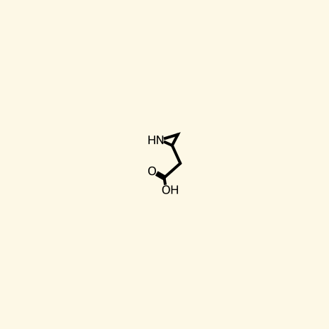 O=C(O)CC1CN1